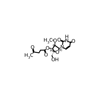 CO[C@@H]1[C@H](OC(=O)CCC(C)=O)[C@@H](CO)O[C@H]1n1ccc(=O)[nH]c1=O